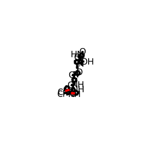 CN1c2c(C#C[C@@H]3CN(C(=O)c4ccc(NC(=O)[C@@H]5NC6(CCCCC6)[C@@]6(C(=O)Nc7cc(Cl)ccc76)[C@H]5c5cccc(Cl)c5F)cc4)CCO3)cccc2N(C2CCC(=O)NC2=O)C1O